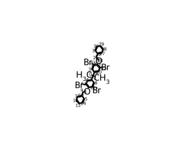 CC(C)(c1cc(Br)c(OCc2ccccc2)c(Br)c1)c1cc(Br)c(OCc2ccccc2)c(Br)c1